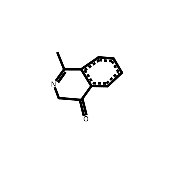 CC1=NCC(=O)c2ccccc21